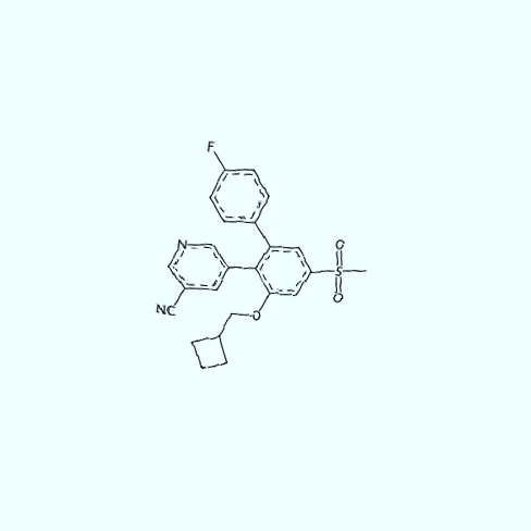 CS(=O)(=O)c1cc(OCC2CCC2)c(-c2cncc(C#N)c2)c(-c2ccc(F)cc2)c1